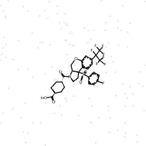 O=C(O)[C@H]1CC[C@H](C(=O)N2CCC3(S(=O)(=O)c4ccc(F)cc4)c4ccc(C(F)(C(F)(F)F)C(F)(F)F)cc4OCC23)CC1